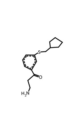 NCCC(=O)c1cccc(SCC2CCCC2)c1